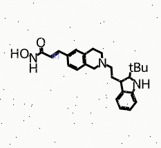 CC(C)(C)C1Nc2ccccc2C1CCN1CCc2cc(/C=C/C(=O)NO)ccc2C1